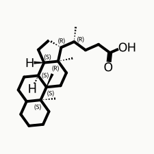 C[C@H](CCC(=O)O)[C@H]1CC[C@H]2[C@@H]3CCC4CCCC[C@]4(C)[C@@]3(C)CC[C@]12C